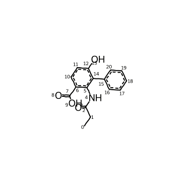 CCC(=O)Nc1c(C(=O)O)ccc(O)c1-c1ccccc1